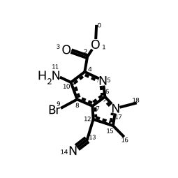 COC(=O)c1nc2c(c(Br)c1N)c(C#N)c(C)n2C